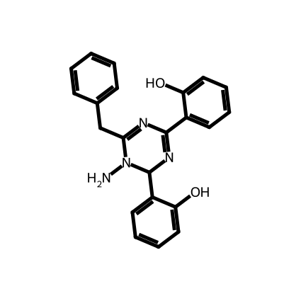 NN1C(Cc2ccccc2)=NC(c2ccccc2O)=NC1c1ccccc1O